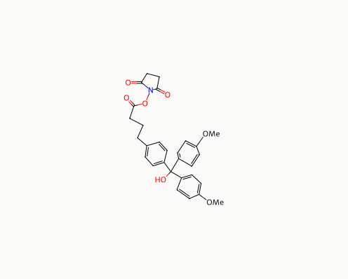 COc1ccc(C(O)(c2ccc(CCCC(=O)ON3C(=O)CCC3=O)cc2)c2ccc(OC)cc2)cc1